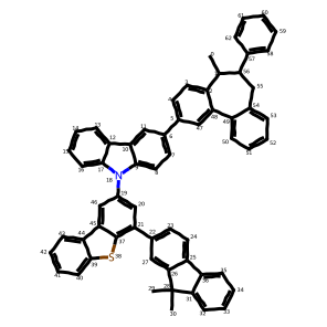 CC1c2ccc(-c3ccc4c(c3)c3ccccc3n4-c3cc(-c4ccc5c(c4)C(C)(C)c4ccccc4-5)c4sc5ccccc5c4c3)cc2-c2ccccc2CC1c1ccccc1